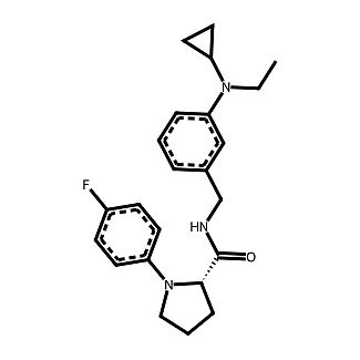 CCN(c1cccc(CNC(=O)[C@@H]2CCCN2c2ccc(F)cc2)c1)C1CC1